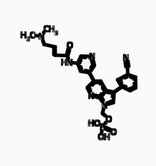 CN(C)CC=CC(=O)Nc1cncc(-c2cnc3c(c2)c(-c2cccc(C#N)c2)cn3COP(=O)(O)O)c1